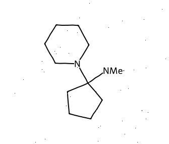 C[N]C1(N2CCCCC2)CCCC1